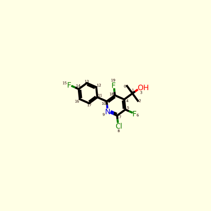 CC(C)(O)c1c(F)c(Cl)nc(-c2ccc(F)cc2)c1F